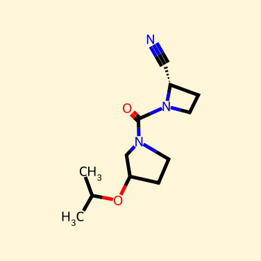 CC(C)OC1CCN(C(=O)N2CC[C@H]2C#N)C1